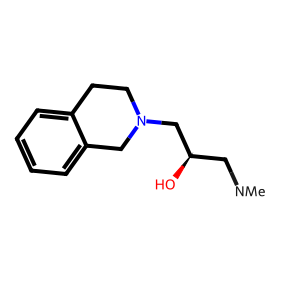 CNC[C@@H](O)CN1CCc2ccccc2C1